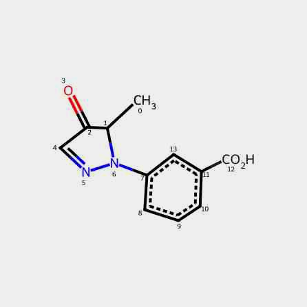 CC1C(=O)C=NN1c1cccc(C(=O)O)c1